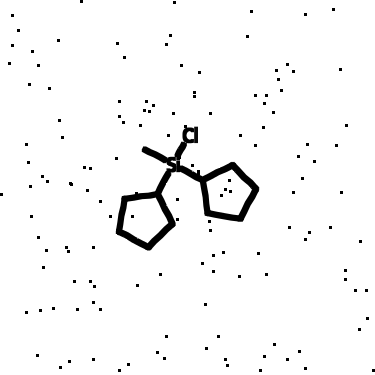 C[Si](Cl)(C1CCCC1)C1CCCC1